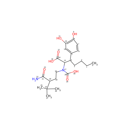 CCCCC(c1ccc(O)c(O)c1)C(C(=O)O)N(CCC(C(N)=O)C(C)(C)C)C(=O)O